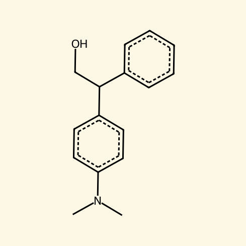 CN(C)c1ccc(C(CO)c2ccccc2)cc1